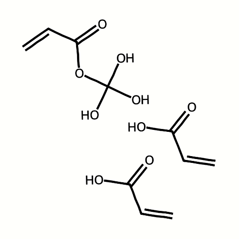 C=CC(=O)O.C=CC(=O)O.C=CC(=O)OC(O)(O)O